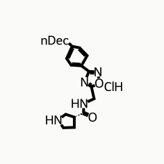 CCCCCCCCCCc1ccc(-c2noc(CNC(=O)[C@@H]3CCNC3)n2)cc1.Cl